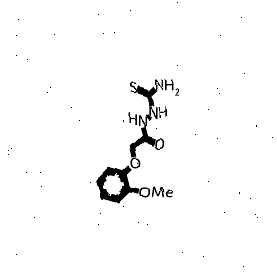 COc1ccccc1OCC(=O)NNC(N)=S